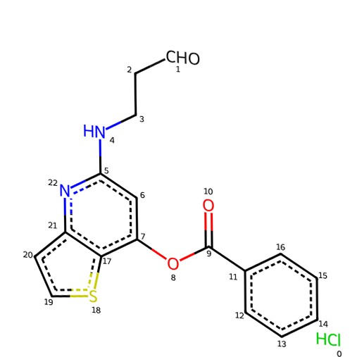 Cl.O=CCCNc1cc(OC(=O)c2ccccc2)c2sccc2n1